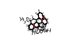 CC(CC(c1ccccc1)c1ccc(O)c(S(=O)(=O)O)c1-c1ccccc1)c1ccccc1